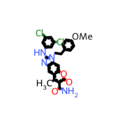 COc1ccc(CCn2c(Nc3cc(Cl)cc(Cl)c3)nc3cc4c(C)c(C(N)=O)c(=O)oc4cc32)cc1